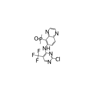 CP(C)(=O)c1c(Nc2nc(Cl)ncc2C(F)(F)F)ccc2nccnc12